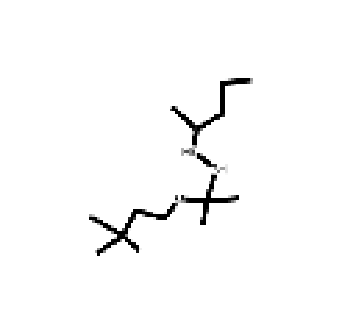 CCCC(C)BBC(C)(C)OCCC(C)(C)C